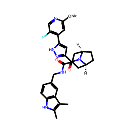 COc1cc(-c2cc(C(=O)N3[C@@H]4CC[C@H]3CC(C(=O)NCc3ccc5[nH]c(C)c(C)c5c3)C4)n[nH]2)c(F)cn1